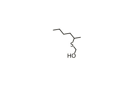 CCCCC(C)SCO